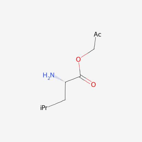 CC(=O)COC(=O)[C@@H](N)CC(C)C